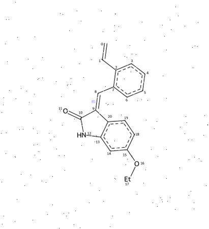 C=Cc1ccccc1/C=C1/C(=O)Nc2cc(OCC)ccc21